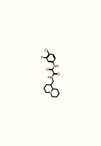 O=C(NCC1CCCN2CCCCC12)C(=O)Nc1ccc(Cl)c(F)c1